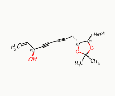 C=C[C@H](O)C#CC#CC[C@H]1OC(C)(C)O[C@@H]1CCCCCCC